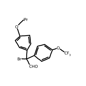 CC(C)Oc1ccc(C(Br)(C=O)c2ccc(OC(F)(F)F)cc2)cc1